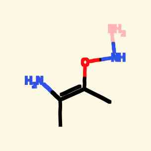 BNO/C(C)=C(/C)N